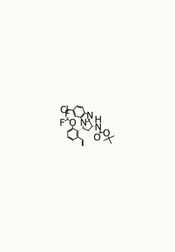 C=Cc1cccc(OC(F)F)c1[C@H]1C[C@@H](NC(=O)OC(C)(C)C)c2nc3ccc(Cl)cc3n21